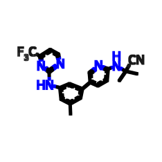 Cc1cc(Nc2nccc(C(F)(F)F)n2)cc(-c2ccc(NC(C)(C)C#N)nc2)c1